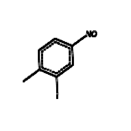 Cc1ccc(N=O)cc1I